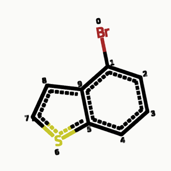 Brc1cccc2s[c]cc12